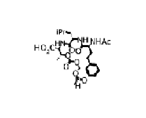 CC(=O)N[C@@H](CCc1ccccc1)C(=O)N[C@@H](CC(C)C)C(=O)N[C@H](C(=O)O)[C@@H](C)OC(=O)OCO[PH](C)=O